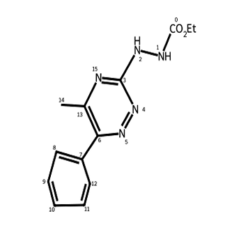 CCOC(=O)NNc1nnc(-c2ccccc2)c(C)n1